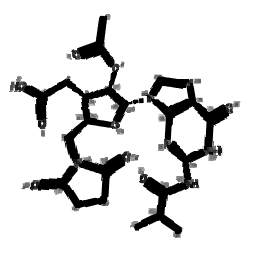 CC(=O)O[C@@H]1[C@H](CC(=O)O)[C@H](CN2C(=O)CCC2=O)O[C@H]1n1cnc2c(=O)[nH]c(NC(=O)C(C)C)nc21